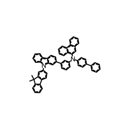 CC1(C)c2ccccc2-c2ccc(-n3c4ccccc4c4ccc(-c5cccc(N(c6ccc(-c7ccccc7)cc6)c6cc7ccccc7c7ccccc67)c5)cc43)cc21